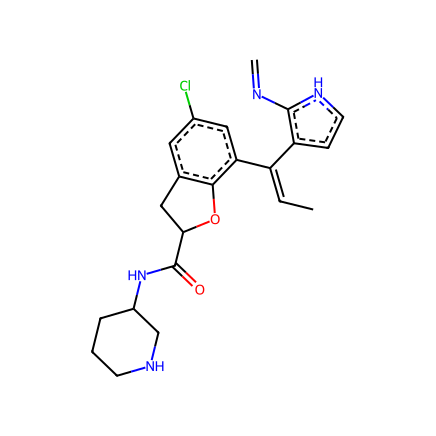 C=Nc1[nH]ccc1/C(=C\C)c1cc(Cl)cc2c1OC(C(=O)NC1CCCNC1)C2